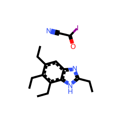 CCc1nc2cc(CC)c(CC)c(CC)c2[nH]1.N#CC(=O)I